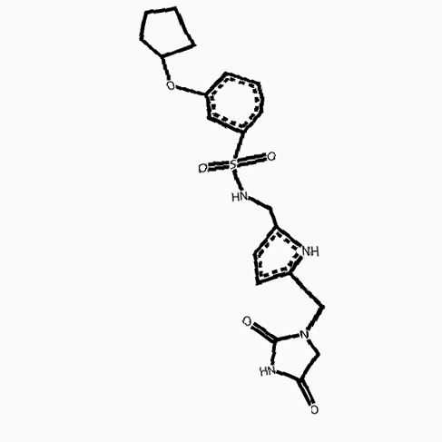 O=C1CN(Cc2ccc(CNS(=O)(=O)c3cccc(OC4CCCC4)c3)[nH]2)C(=O)N1